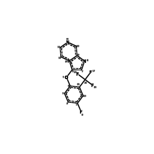 Fc1ccc(Oc2cnc3cnccn23)c(C(F)(F)F)c1